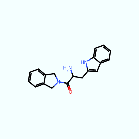 NC(Cc1cc2ccccc2[nH]1)C(=O)N1Cc2ccccc2C1